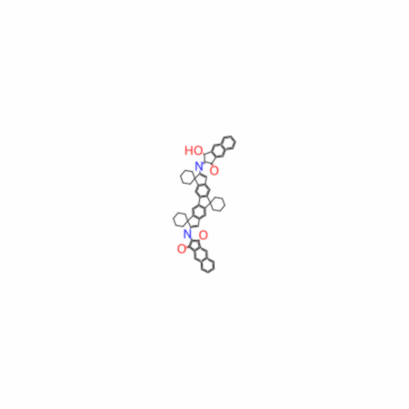 O=C1/C(=N\C2=Cc3cc4c(cc3C23CCCCC3)-c2cc3c(cc2C42CCCCC2)C=C(N=c2c(=O)c4cc5ccccc5cc4c2=O)C32CCCCC2)C(O)c2cc3ccccc3cc21